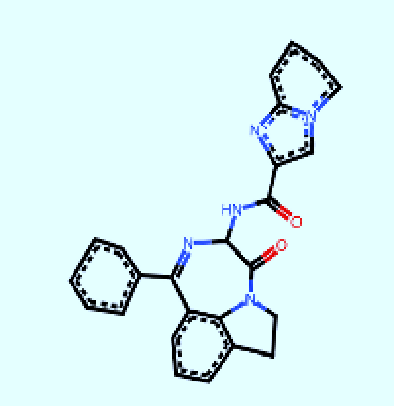 O=C(NC1N=C(c2ccccc2)c2cccc3c2N(CC3)C1=O)c1cn2ccccc2n1